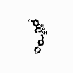 CCc1c(S(=O)(=O)NCCc2ccc(N3CCOCC3)cc2)[nH]c2ccc(Cl)cc12